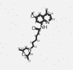 COc1cc(NC(=O)CCCCCN2CC(C)OC(C)C2)c2nccc(C)c2c1